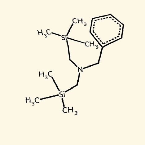 C[Si](C)(C)CN(Cc1ccccc1)C[Si](C)(C)C